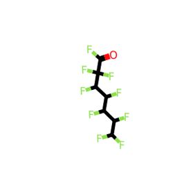 O=C(F)C(F)(F)C(F)C(F)C(F)C(F)C(F)F